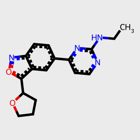 CCNc1nccc(-c2ccc3noc(C4CCCO4)c3c2)n1